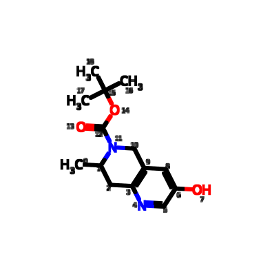 CC1Cc2ncc(O)cc2CN1C(=O)OC(C)(C)C